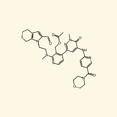 CC(=O)OCc1c(-c2cc(Nc3ccc(C(=O)N4CCOCC4)cn3)c(=O)n(C)n2)ccnc1N(C)CCn1c(C=O)cc2c1CCCC2